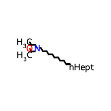 CCCCCCCC=CCCCCCCCCCN1CC(C)OC(C)C1